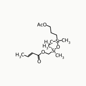 CC=CC(=O)OC[Si](C)(C)O[Si](C)(C)CCCOC(C)=O